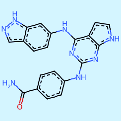 NC(=O)c1ccc(Nc2nc(Nc3ccc4cn[nH]c4c3)c3cc[nH]c3n2)cc1